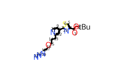 CC(C)(C)OC(=O)c1csc(-c2ccnc(CCCOCCN=[N+]=[N-])c2)n1